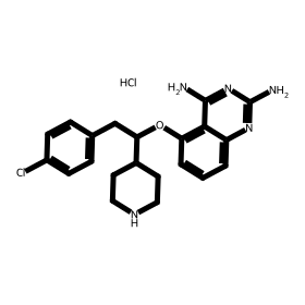 Cl.Nc1nc(N)c2c(OC(Cc3ccc(Cl)cc3)C3CCNCC3)cccc2n1